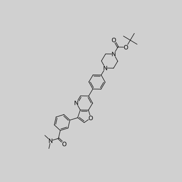 CN(C)C(=O)c1cccc(-c2coc3cc(-c4ccc(N5CCN(C(=O)OC(C)(C)C)CC5)cc4)cnc23)c1